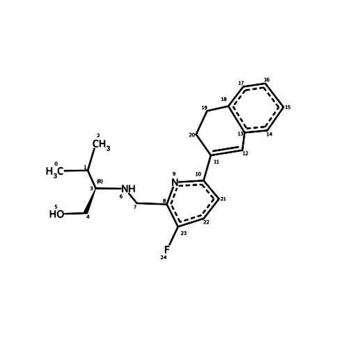 CC(C)[C@H](CO)NCc1nc(C2=Cc3ccccc3CC2)ccc1F